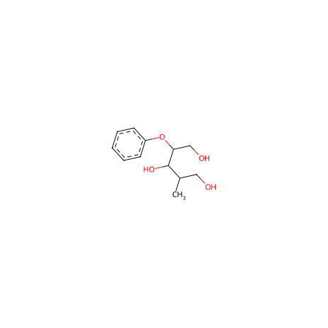 CC(CO)C(O)C(CO)Oc1ccccc1